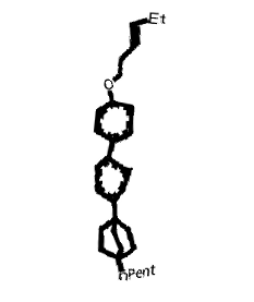 CCC=CCCOc1ccc(-c2ccc(C34CCC(CCCCC)(CC3)CC4)cc2)cc1